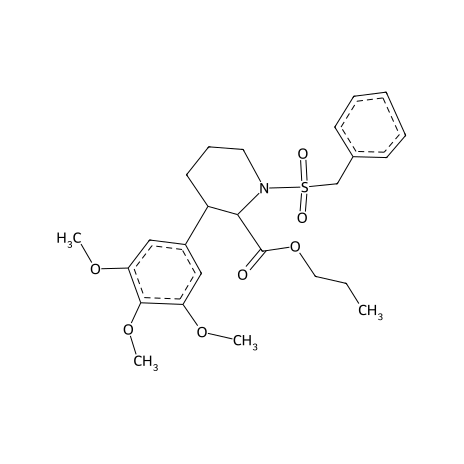 CCCOC(=O)C1C(c2cc(OC)c(OC)c(OC)c2)CCCN1S(=O)(=O)Cc1ccccc1